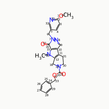 COc1ccc(Cn2ncc3c4c(n(C)c3c2=O)CN(C(=O)OCc2ccccc2)CC4)cn1